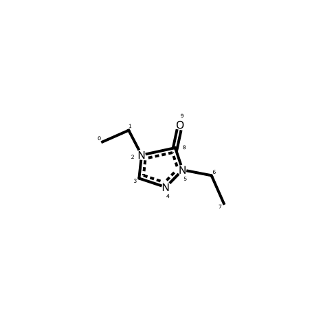 CCn1cnn(CC)c1=O